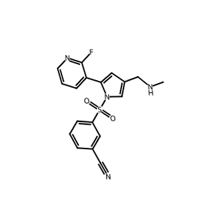 CNCc1cc(-c2cccnc2F)n(S(=O)(=O)c2cccc(C#N)c2)c1